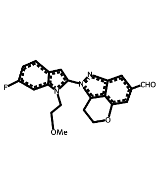 COCCn1c(-n2nc3cc(C=O)cc4c3c2CCO4)cc2ccc(F)cc21